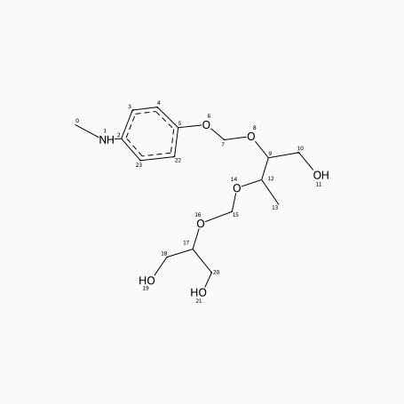 CNc1ccc(OCOC(CO)C(C)OCOC(CO)CO)cc1